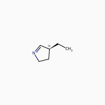 CC[C@@H]1C=NCC1